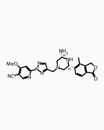 COc1cc(-n2ncc(CN3C[C@@H](c4ccc5c(c4C)COC5=O)N[C@@H](N)C3)n2)ncc1C#N